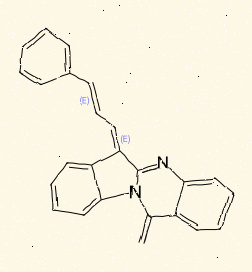 C=c1c2ccccc2nc2/c(=C/C=C/c3ccccc3)c3ccccc3n12